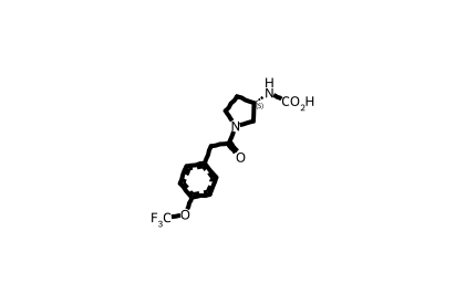 O=C(O)N[C@H]1CCN(C(=O)Cc2ccc(OC(F)(F)F)cc2)C1